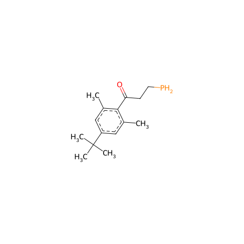 Cc1cc(C(C)(C)C)cc(C)c1C(=O)CCP